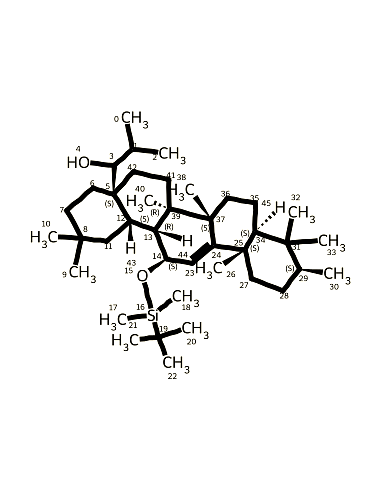 CC(C)C(O)[C@]12CCC(C)(C)C[C@H]1[C@H]1[C@H](O[Si](C)(C)C(C)(C)C)C=C3[C@@]4(C)CC[C@H](C)C(C)(C)[C@@H]4CC[C@@]3(C)[C@]1(C)CC2